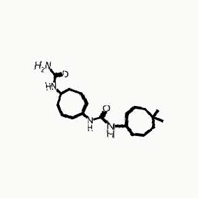 CC1(C)CCCC(NC(=O)NC2CCCC(NC(N)=O)CCC2)CCC1